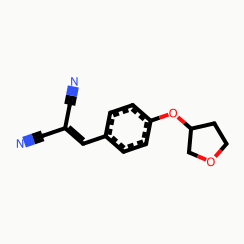 N#CC(C#N)=Cc1ccc(OC2CCOC2)cc1